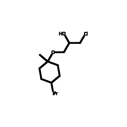 CC(C)C1CCC(C)(OCC(O)CCl)CC1